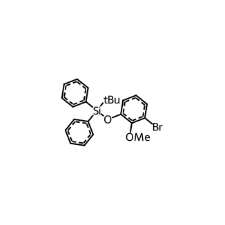 COc1c(Br)cccc1O[Si](c1ccccc1)(c1ccccc1)C(C)(C)C